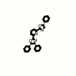 c1ccc([C@@H]2CN=C(c3cccc(C4=N[C@@H](c5ccccc5)[C@@H](c5ccccc5)O4)n3)O2)cc1